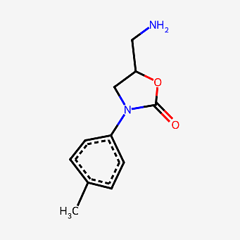 Cc1ccc(N2CC(CN)OC2=O)cc1